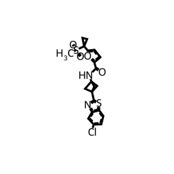 CS(=O)(=O)C1(c2ccc(C(=O)NC34CC(c5nc6cc(Cl)ccc6s5)(C3)C4)o2)CC1